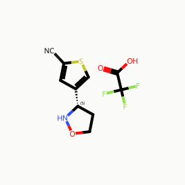 N#Cc1cc([C@@H]2CCON2)cs1.O=C(O)C(F)(F)F